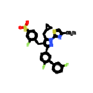 CCOC(=O)c1csc(-n2nc(-c3ccc(F)c(-c4cccc(F)c4)c3)c(Cc3ccc([SH](=O)=O)cc3F)c2CC2CC2)n1